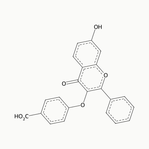 O=C(O)c1ccc(Oc2c(-c3ccccc3)oc3cc(O)ccc3c2=O)cc1